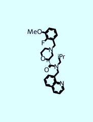 COc1cccc(CN2CCO[C@@H](C(=O)N(Cc3cccc4cccnc34)CC(C)C)C2)c1F